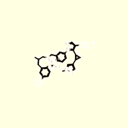 CC1Cc2cc(C(F)(F)F)ccc2S(O)(O)N(Cc2cccc(-n3ncc(C(=O)O)c3C3CC3c3cnn(C)c3)c2)C1